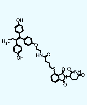 CCC(=C(c1ccc(O)cc1)c1ccc(OCCNC(=O)CCCSc2cccc3c2C(=O)N(C2CCC(=O)NC2=O)C3=O)cc1)c1ccc(O)cc1